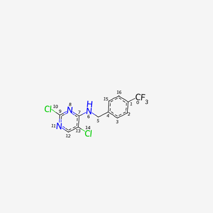 FC(F)(F)c1ccc(CNc2nc(Cl)ncc2Cl)cc1